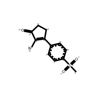 CS(=O)(=O)c1ccc(C2=C(Br)C(=O)CC2)cc1